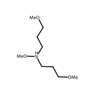 COCCC[SiH](CCCOC)OC